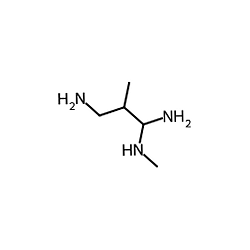 CNC(N)C(C)CN